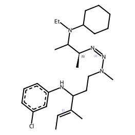 C/C=C(\C)C(CCN(C)/N=N\[C@@H](C)C(C)N(CC)C1CCCCC1)Nc1cccc(Cl)c1